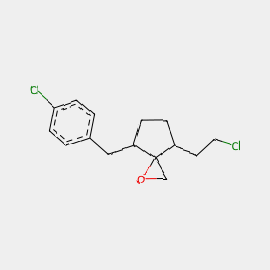 ClCCC1CCC(Cc2ccc(Cl)cc2)C12CO2